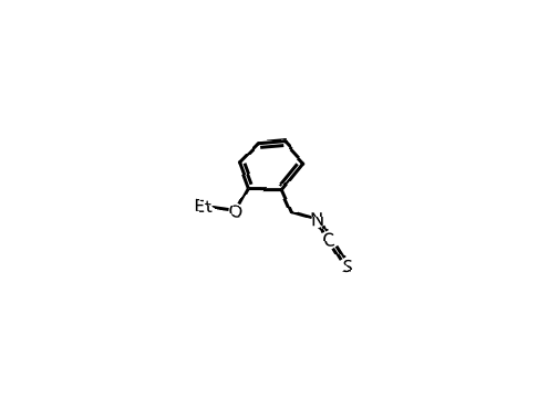 CCOc1ccccc1CN=C=S